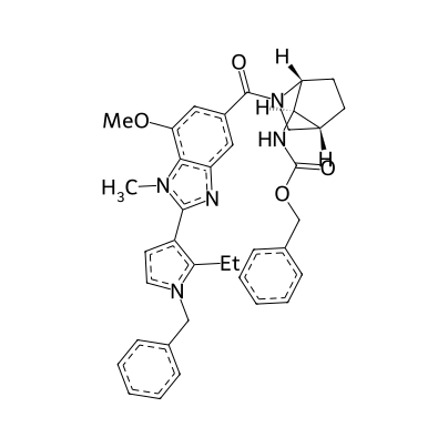 CCc1c(-c2nc3cc(C(=O)N4C[C@H]5CC[C@@H]4[C@@H]5NC(=O)OCc4ccccc4)cc(OC)c3n2C)ccn1Cc1ccccc1